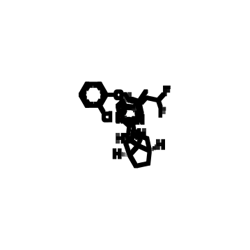 Cc1cc(N2C[C@H]3CC[C@@H](C2)[C@@H]3Nc2nc(Oc3ccccc3Cl)n(CC(F)F)n2)ncn1